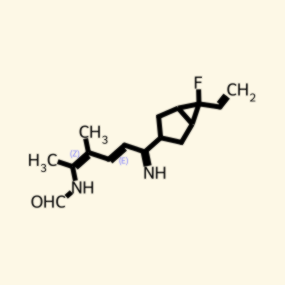 C=CC1(F)C2CC(C(=N)/C=C/C(C)=C(/C)NC=O)CC21